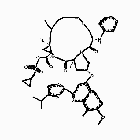 COc1ccc2c(O[C@@H]3C[C@H]4C(=O)N[C@]5(C(=O)NS(=O)(=O)C6CC6)C[C@H]5CC(C)CCCCC[C@H](Nc5ccccc5)C(=O)N4C3)cc(-c3nc(C(C)C)cs3)nc2c1C